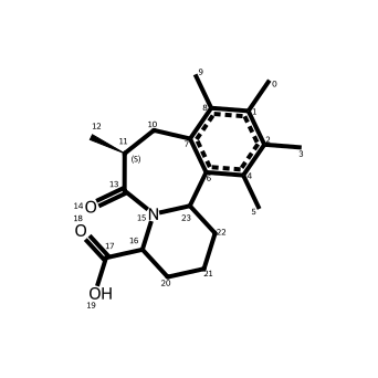 Cc1c(C)c(C)c2c(c1C)C[C@H](C)C(=O)N1C(C(=O)O)CCCC21